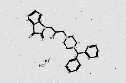 Cl.Cl.O=C1C(=O)N(CC(O)CN2CCN(C(c3ccccc3)c3ccccc3)CC2)c2ccccc21